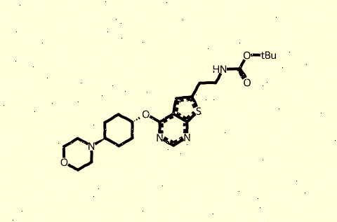 CC(C)(C)OC(=O)NCCc1cc2c(O[C@H]3CC[C@H](N4CCOCC4)CC3)ncnc2s1